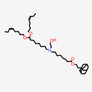 CC/C=C\CCCCOC(CCCCCCCN(CCO)CCCCCCCC(=O)OCCC12CC3CC(CC(C3)C1)C2)OCCCC/C=C\CC